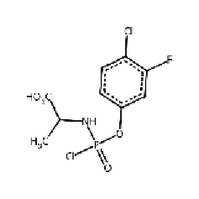 CC(NP(=O)(Cl)Oc1ccc(Cl)c(F)c1)C(=O)O